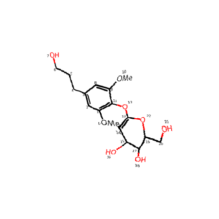 COc1cc(CCCO)cc(OC)c1OC1=CC(O)C(O)C(CO)O1